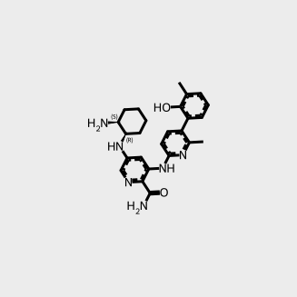 Cc1cccc(-c2ccc(Nc3cc(N[C@@H]4CCCC[C@@H]4N)cnc3C(N)=O)nc2C)c1O